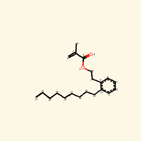 C=C(C)C(=O)OCCc1ccccc1CCCCCCCCC